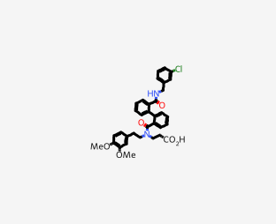 COc1ccc(CCN(CCC(=O)O)C(=O)c2ccccc2-c2ccccc2C(=O)NCc2cccc(Cl)c2)cc1OC